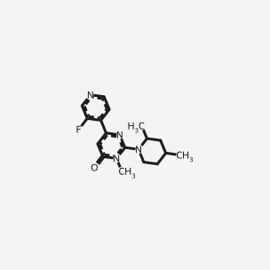 CC1CCN(c2nc(-c3ccncc3F)cc(=O)n2C)C(C)C1